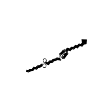 CCCCCCCCCOC(=O)CCCCCCCN1CC2CN(CCCCCCCC=C3CCC3)CC(C1)O2